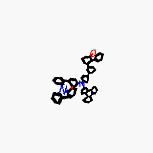 c1cc(-c2ccc(N(c3ccc(-c4ccccc4-n4c5ccccc5c5ccccc54)cc3)c3ccc4c5ccccc5c5ccccc5c4c3)cc2)cc(-c2cccc3oc4ccccc4c23)c1